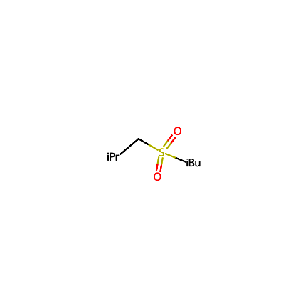 CCC(C)S(=O)(=O)CC(C)C